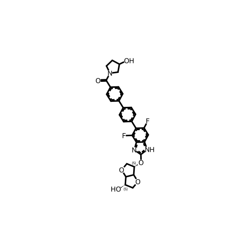 O=C(c1ccc(-c2ccc(-c3c(F)cc4[nH]c(O[C@H]5COC6C5OC[C@@H]6O)nc4c3F)cc2)cc1)N1CCC(O)C1